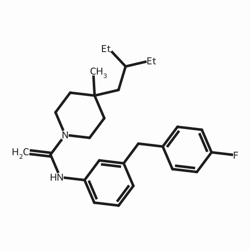 C=C(Nc1cccc(Cc2ccc(F)cc2)c1)N1CCC(C)(CC(CC)CC)CC1